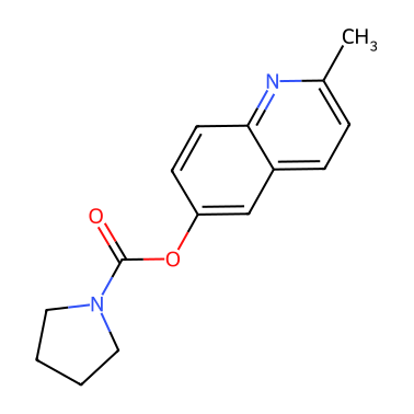 Cc1ccc2cc(OC(=O)N3CCCC3)ccc2n1